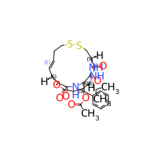 CC(=O)O[C@H]1CC(=O)O[C@@H]2/C=C/CCSSC[C@@H](NC(=O)[C@@H](Cc3ccccc3)NC(=O)C2)C(=O)N[C@@H]1C(C)C